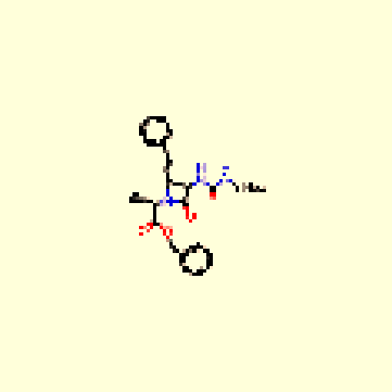 CCCCCCNC(=O)NC1C(=O)N(C(CCCC)C(=O)OCc2ccccc2)C1C=Cc1ccccc1